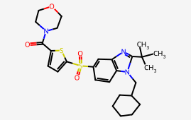 CC(C)(C)c1nc2cc(S(=O)(=O)c3ccc(C(=O)N4CCOCC4)s3)ccc2n1CC1CCCCC1